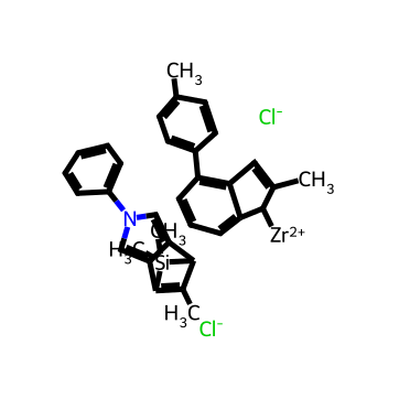 CC1=C2c3cn(-c4ccccc4)cc3C1[Si]2(C)C.CC1=Cc2c(-c3ccc(C)cc3)cccc2[CH]1[Zr+2].[Cl-].[Cl-]